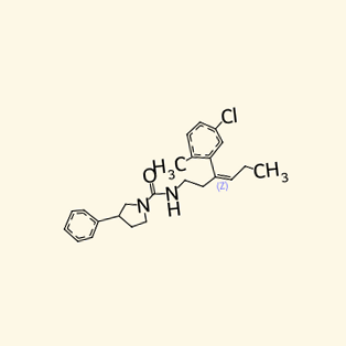 CC/C=C(/CCNC(=O)N1CCC(c2ccccc2)C1)c1cc(Cl)ccc1C